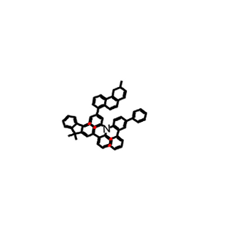 CC1C=Cc2ccc3c(-c4cccc(N(c5ccccc5-c5ccc6c(c5)C(C)(C)c5ccccc5-6)c5ccc(-c6ccccc6)cc5-c5ccccc5)c4)cccc3c2C1